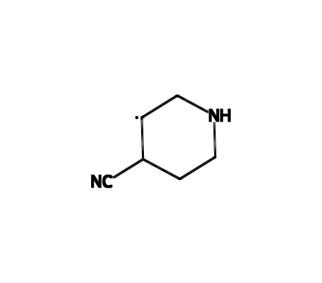 N#CC1[CH]CNCC1